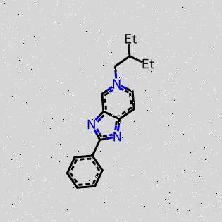 CCC(CC)Cn1ccc2nc(-c3ccccc3)nc-2c1